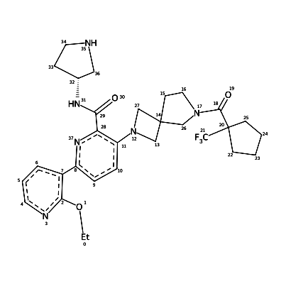 CCOc1ncccc1-c1ccc(N2CC3(CCN(C(=O)C4(C(F)(F)F)CCCC4)C3)C2)c(C(=O)N[C@@H]2CCNC2)n1